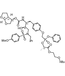 CCCCOCCOC(=O)[C@H](C)OP(=O)(COc1ccc(C[C@H](NC(=O)O[C@H]2CO[C@H]3OCC[C@H]32)[C@H](O)CN(CC(C)C)S(=O)(=O)c2ccc(OC)cc2)cc1)Oc1ccccc1